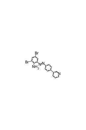 Nc1c(Br)cc(Br)cc1N=Nc1ccc(-c2cccnc2)cc1